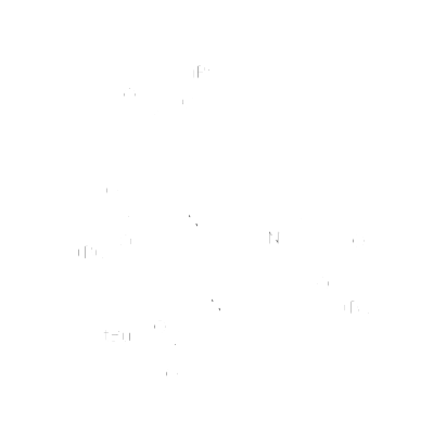 CC(C)OC(=O)CCC(C(=O)OC(C)(C)C)N1CCN(CC(=O)OC(C)(C)C)CCN(CC(=O)OC(C)(C)C)CC1